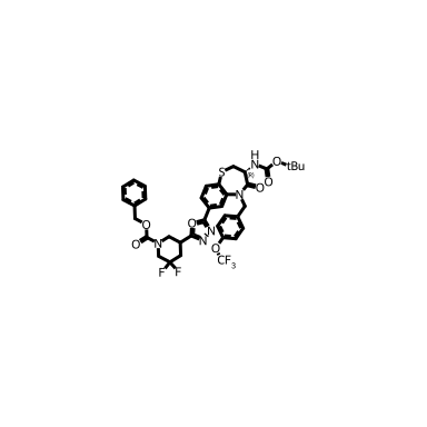 CC(C)(C)OC(=O)N[C@H]1CSc2ccc(-c3nnc(C4CN(C(=O)OCc5ccccc5)CC(F)(F)C4)o3)cc2N(Cc2ccc(OC(F)(F)F)cc2)C1=O